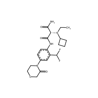 CCN(C1CCC1)[C@@H](C(N)=O)C(=O)Nc1ccc(N2CCOCC2=O)cc1C(F)F